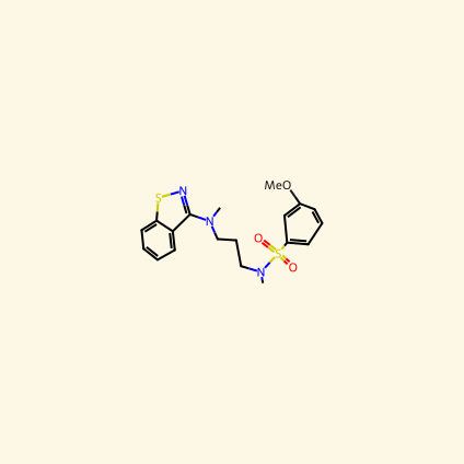 COc1cccc(S(=O)(=O)N(C)CCCN(C)c2nsc3ccccc23)c1